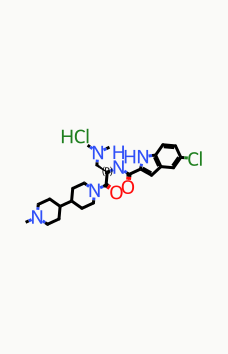 CN(C)C[C@@H](NC(=O)c1cc2cc(Cl)ccc2[nH]1)C(=O)N1CCC(C2CCN(C)CC2)CC1.Cl